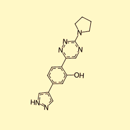 Oc1cc(-c2cn[nH]c2)ccc1-c1cnc(N2CCCC2)nn1